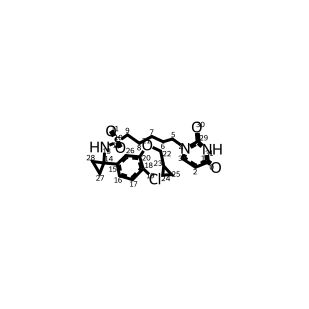 O=c1ccn(CCCCCS(=O)(=O)NC2(c3ccc(Cl)c(OCC4CC4)c3)CC2)c(=O)[nH]1